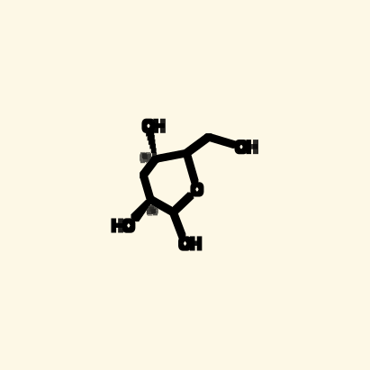 OCC1OC(O)[C@@H](O)C[C@@H]1O